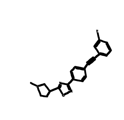 CN1CCC(c2nc(-c3ccc(C#Cc4cccc(F)c4)cc3)no2)C1